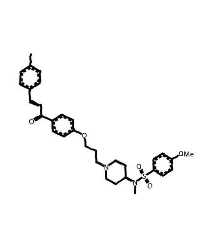 COc1ccc(S(=O)(=O)N(C)C2CCN(CCCOc3ccc(C(=O)C=Cc4ccc(C)cc4)cc3)CC2)cc1